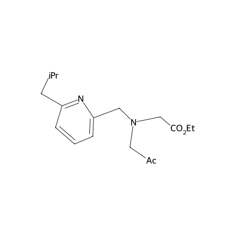 CCOC(=O)CN(CC(C)=O)Cc1cccc(CC(C)C)n1